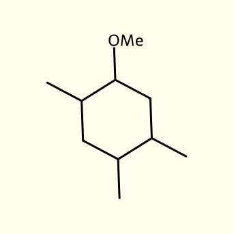 COC1CC(C)C(C)CC1C